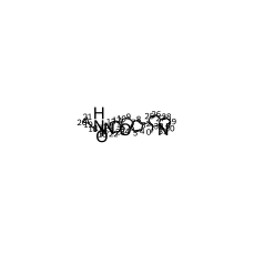 Cc1c(-c2ccc3c(c2)CCC2(CCN(C(=O)NCC4CC4)CC2)O3)ccc2cccnc12